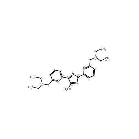 CCN(CC)Cc1cccc(-c2nn(-c3cccc(CN(CC)CC)n3)cc2C)n1